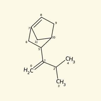 C=C(C(C)C)C1CC2=CCC1C2